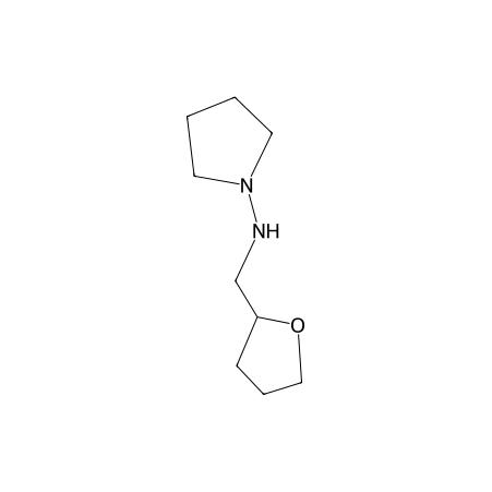 C1COC(CNN2CCCC2)C1